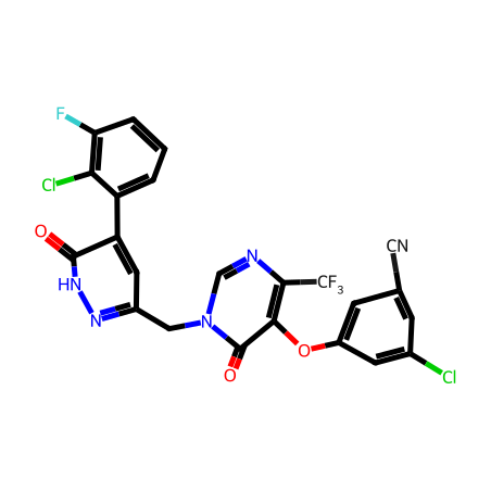 N#Cc1cc(Cl)cc(Oc2c(C(F)(F)F)ncn(Cc3cc(-c4cccc(F)c4Cl)c(=O)[nH]n3)c2=O)c1